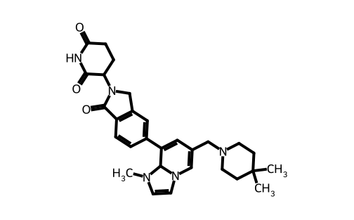 CN1C=CN2C=C(CN3CCC(C)(C)CC3)C=C(c3ccc4c(c3)CN(C3CCC(=O)NC3=O)C4=O)C12